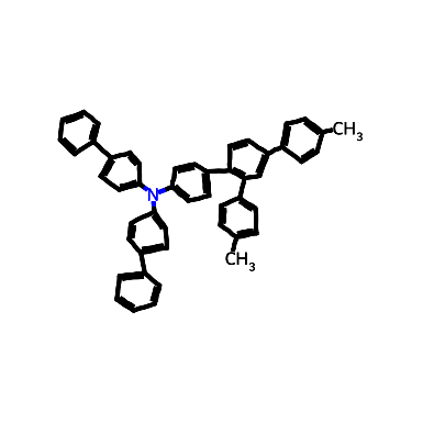 Cc1ccc(-c2ccc(-c3ccc(N(c4ccc(-c5ccccc5)cc4)c4ccc(-c5ccccc5)cc4)cc3)c(-c3ccc(C)cc3)c2)cc1